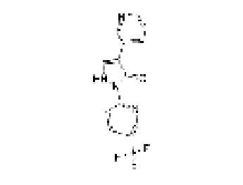 O=c1c(-c2cccnc2)c[nH]n1-c1ccc(C(F)(F)F)cn1